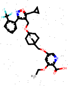 CCOc1cc(OCC23CCC(OCc4c(-c5ccccc5C(F)(F)F)noc4C4CC4)(CC2)CC3)cnc1C(=O)O